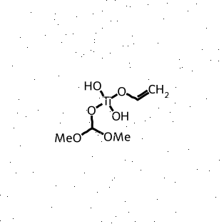 C=C[O][Ti]([OH])([OH])[O]C(OC)OC